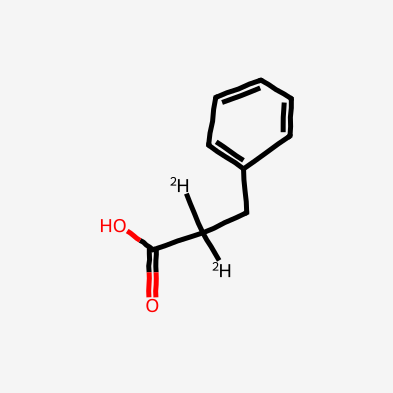 [2H]C([2H])(Cc1ccccc1)C(=O)O